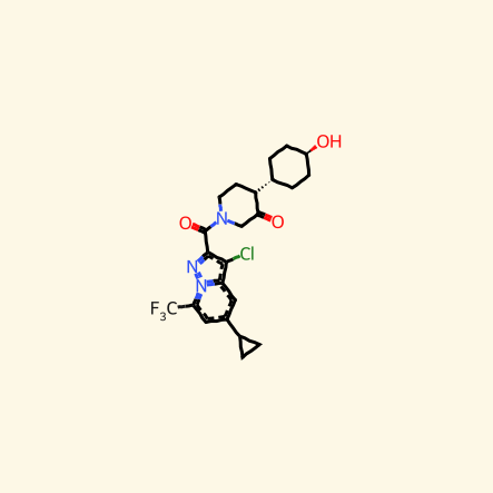 O=C1CN(C(=O)c2nn3c(C(F)(F)F)cc(C4CC4)cc3c2Cl)CCC1[C@H]1CC[C@H](O)CC1